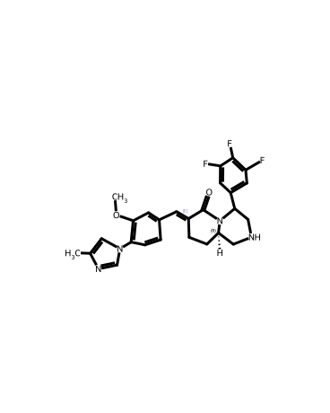 COc1cc(/C=C2\CC[C@@H]3CNCC(c4cc(F)c(F)c(F)c4)N3C2=O)ccc1-n1cnc(C)c1